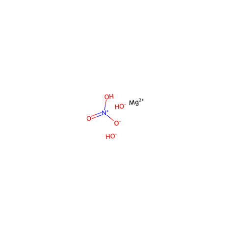 O=[N+]([O-])O.[Mg+2].[OH-].[OH-]